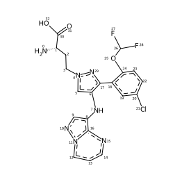 N[C@@H](CCn1cc(Nc2cnn3cccnc23)c(-c2cc(Cl)ccc2OC(F)F)n1)C(=O)O